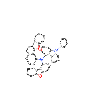 c1ccc(-n2c3ccccc3c3c(N(c4cccc5oc6ccccc6c45)c4cccc5ccc6c7ccccc7oc6c45)cccc32)cc1